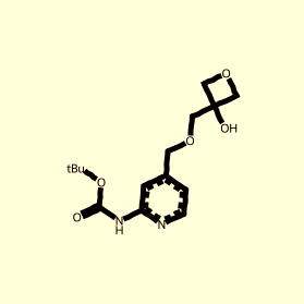 CC(C)(C)OC(=O)Nc1cc(COCC2(O)COC2)ccn1